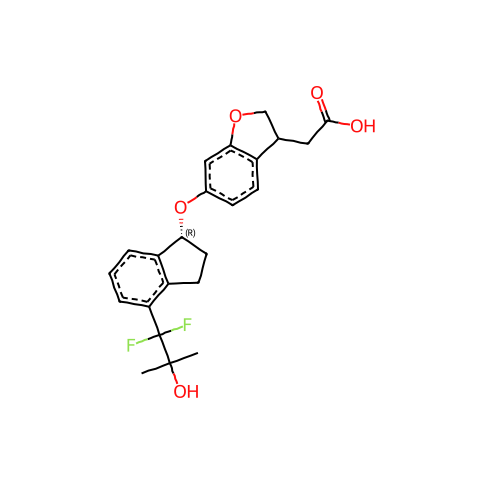 CC(C)(O)C(F)(F)c1cccc2c1CC[C@H]2Oc1ccc2c(c1)OCC2CC(=O)O